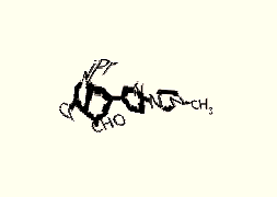 CC(C)n1cc(Cl)c2c(C=O)cc(-c3ccc(N4CCN(C)C4)nc3)cc21